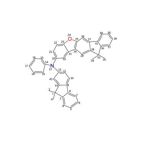 CC1(C)c2ccccc2-c2ccc(N(c3ccccc3)c3ccc4oc5cc6c(cc5c4c3)C(C)(C)c3ccccc3-6)cc21